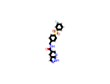 O=C(NCc1ccc(S(=O)(=O)c2cccc(F)c2)cc1)c1cnc2[nH]ncc2c1